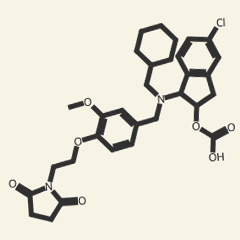 COc1cc(CN(CC2CCCCC2)C2c3ccc(Cl)cc3CC2OC(=O)O)ccc1OCCN1C(=O)CCC1=O